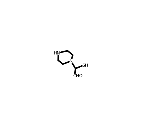 O=[C]C(S)N1CCNCC1